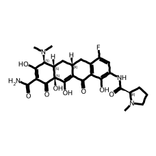 CN(C)[C@@H]1C(O)=C(C(N)=O)C(=O)[C@@]2(O)C(O)=C3C(=O)c4c(O)c(NC(=O)[C@H]5CCCN5C)cc(F)c4C[C@H]3C[C@@H]12